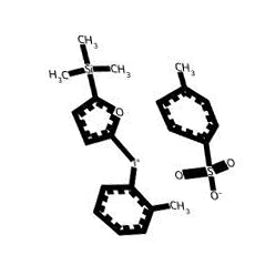 Cc1ccc(S(=O)(=O)[O-])cc1.Cc1ccccc1[I+]c1ccc([Si](C)(C)C)o1